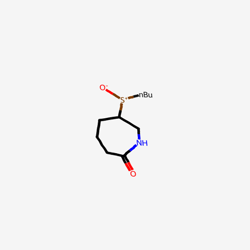 CCCC[S+]([O-])C1CCCC(=O)NC1